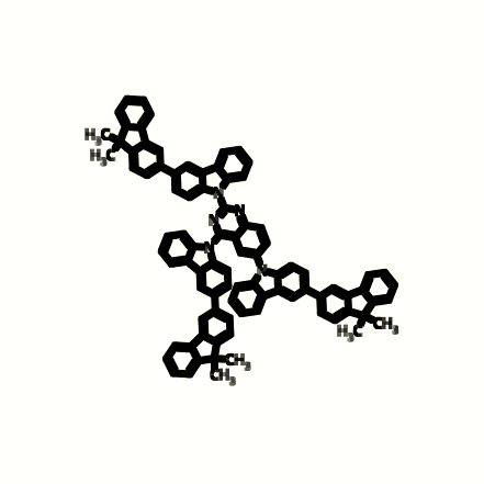 CC1(C)c2ccccc2-c2cc(-c3ccc4c(c3)c3ccccc3n4-c3ccc4nc(-n5c6ccccc6c6cc(-c7ccc8c(c7)-c7ccccc7C8(C)C)ccc65)nc(-n5c6ccccc6c6cc(-c7ccc8c(c7)-c7ccccc7C8(C)C)ccc65)c4c3)ccc21